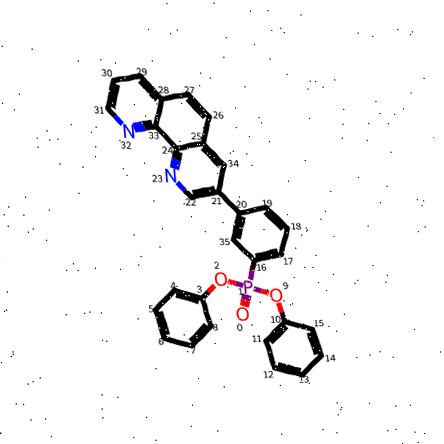 O=P(Oc1ccccc1)(Oc1ccccc1)c1cccc(-c2cnc3c(ccc4cccnc43)c2)c1